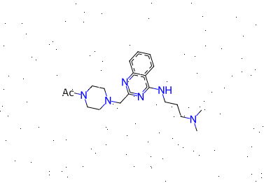 CC(=O)N1CCN(Cc2nc(NCCCN(C)C)c3ccccc3n2)CC1